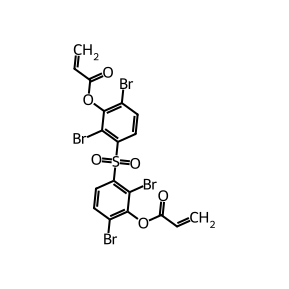 C=CC(=O)Oc1c(Br)ccc(S(=O)(=O)c2ccc(Br)c(OC(=O)C=C)c2Br)c1Br